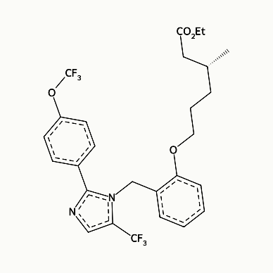 CCOC(=O)C[C@H](C)CCCOc1ccccc1Cn1c(C(F)(F)F)cnc1-c1ccc(OC(F)(F)F)cc1